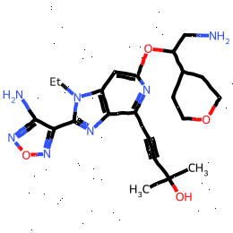 CCn1c(-c2nonc2N)nc2c(C#CC(C)(C)O)nc(OC(CN)C3CCOCC3)cc21